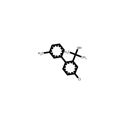 Cc1cccc(-c2ccc(Cl)cc2C(C)(C)O)c1